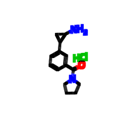 Cl.NC1CC1c1cccc(C(=O)N2CCCC2)c1